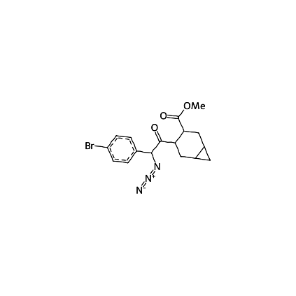 COC(=O)C1CC2CC2CC1C(=O)C(N=[N+]=[N-])c1ccc(Br)cc1